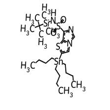 CCC[CH2][Sn]([CH2]CCC)([CH2]CCC)[c]1cn2cnc(S(=O)(=O)N[Si](C)(C)C(C)(C)C)c2s1